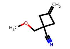 C=C1CC(C#N)(COC)C1